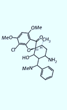 CNC(c1ccccc1)C1C(N)C[C@@H](C)[C@]2(Oc3c(Cl)c(OC)cc(OC)c3C2=O)C1O